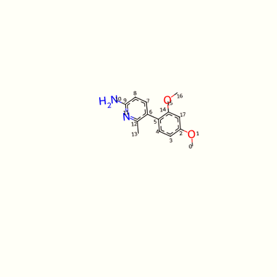 COc1ccc(-c2ccc(N)nc2C)c(OC)c1